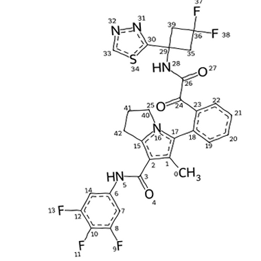 Cc1c(C(=O)Nc2cc(F)c(F)c(F)c2)c2n(c1-c1ccccc1C(=O)C(=O)NC1(c3nncs3)CC(F)(F)C1)CCC2